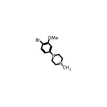 COc1cc(N2CCN(C)CC2)ccc1Br